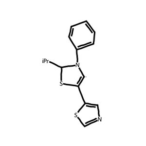 CC(C)C1SC(c2cncs2)=[C]N1c1ccccc1